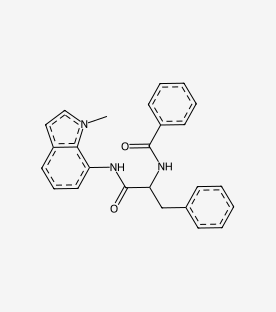 Cn1ccc2cccc(NC(=O)C(Cc3ccccc3)NC(=O)c3ccccc3)c21